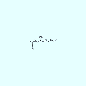 CCOCOCC(O)COC(C)C#N